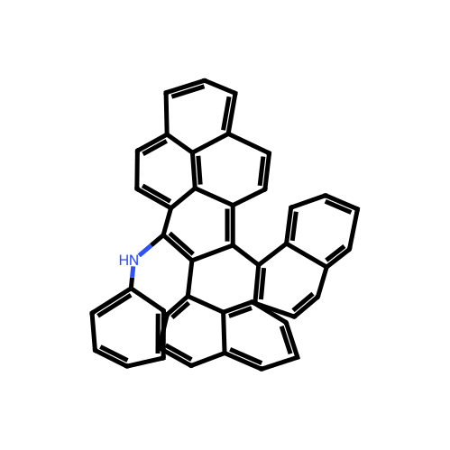 c1ccc(Nc2c(-c3cccc4ccccc34)c(-c3cccc4ccccc34)c3ccc4cccc5ccc2c3c54)cc1